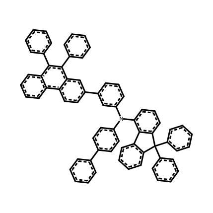 c1ccc(-c2ccc(N(c3cccc(-c4ccc5c(c4)c(-c4ccccc4)c(-c4ccccc4)c4ccccc45)c3)c3cccc4c3-c3ccccc3C4(c3ccccc3)c3ccccc3)cc2)cc1